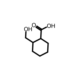 O=C(O)C1CCCCC1CO